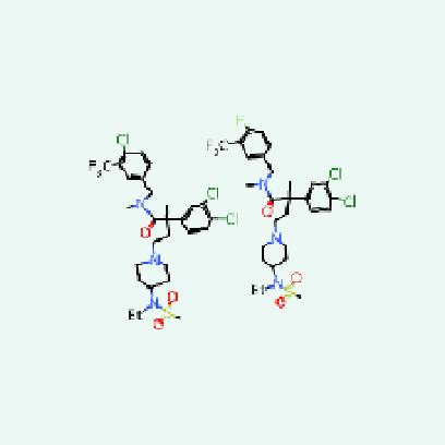 CCN(C1CCN(CCC(C)(C(=O)N(C)Cc2ccc(Cl)c(C(F)(F)F)c2)c2ccc(Cl)c(Cl)c2)CC1)S(C)(=O)=O.CCN(C1CCN(CCC(C)(C(=O)N(C)Cc2ccc(F)c(C(F)(F)F)c2)c2ccc(Cl)c(Cl)c2)CC1)S(C)(=O)=O